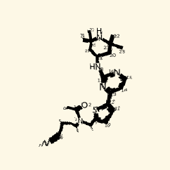 CC(=O)N(CCC#N)Cc1ccc(-c2ccnc(NC3CC(C)(C)NC(C)(C)C3)n2)s1